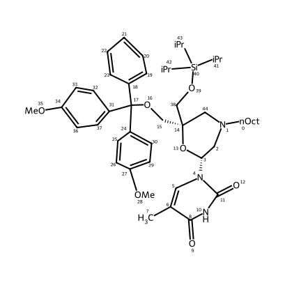 CCCCCCCCN1C[C@H](n2cc(C)c(=O)[nH]c2=O)O[C@@](COC(c2ccccc2)(c2ccc(OC)cc2)c2ccc(OC)cc2)(CO[Si](C(C)C)(C(C)C)C(C)C)C1